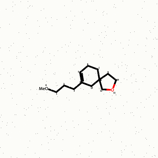 COCCCC1=CCCC2(CCOC2)C1